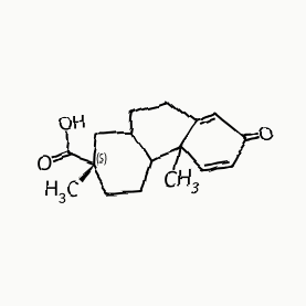 CC12C=CC(=O)C=C1CCC1C[C@@](C)(C(=O)O)CCC12